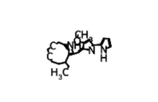 CCC1CCCCCCc2cc1c(/C=C1/N=C(c3ccc[nH]3)C=C1OC)[nH]2